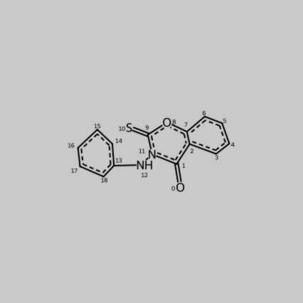 O=c1c2ccccc2oc(=S)n1Nc1ccccc1